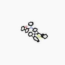 c1ccc(N(c2ccc3c(c2)C2(c4ccccc4-c4ccccc42)c2sc4ccccc4c2-3)c2cccc3c2oc2ccccc23)cc1